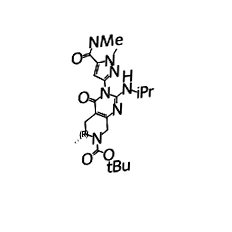 CNC(=O)c1cc(-n2c(NC(C)C)nc3c(c2=O)C[C@@H](C)N(C(=O)OC(C)(C)C)C3)nn1C